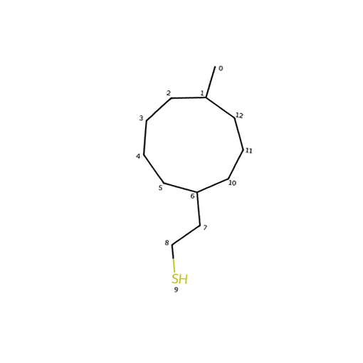 CC1CCCCC(CCS)CCC1